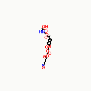 CC(C(=O)OCC(=O)NC(C)(CO)CO)c1ccc2cc(OC(=O)COC(=O)COC(=O)CCCCCN=O)ccc2c1